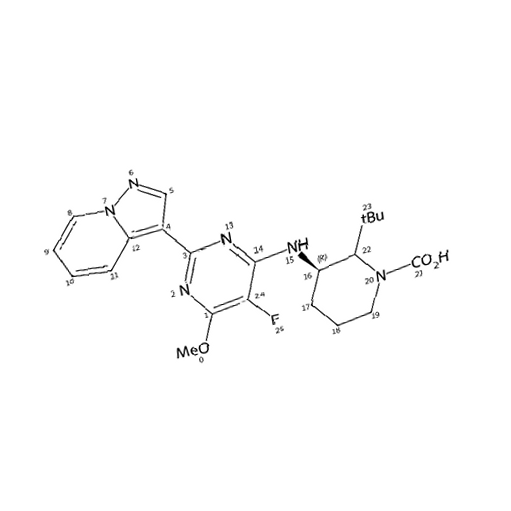 COc1nc(-c2cnn3ccccc23)nc(N[C@@H]2CCCN(C(=O)O)C2C(C)(C)C)c1F